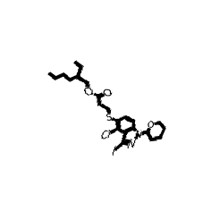 CCCCC(CC)COC(=O)CCSc1ccc2c(c(I)nn2C2CCCCO2)c1Cl